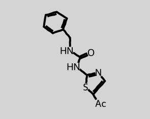 CC(=O)c1cnc(NC(=O)NCc2ccccc2)s1